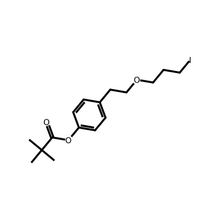 CC(C)(C)C(=O)Oc1ccc(CCOCCCI)cc1